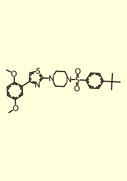 COc1ccc(OC)c(-c2csc(N3CCN(S(=O)(=O)c4ccc(C(C)(C)C)cc4)CC3)n2)c1